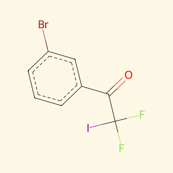 O=C(c1cccc(Br)c1)C(F)(F)I